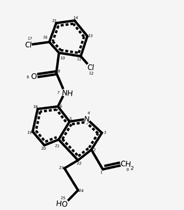 C=Cc1cnc2c(NC(=O)c3c(Cl)cccc3Cl)cccc2c1CCO